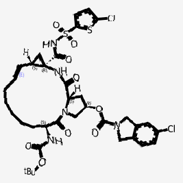 CC(C)(C)OC(=O)N[C@H]1CCCCC/C=C/[C@@H]2C[C@@]2(C(=O)NS(=O)(=O)c2ccc(Cl)s2)NC(=O)[C@@H]2C[C@@H](OC(=O)N3Cc4ccc(Cl)cc4C3)CN2C1=O